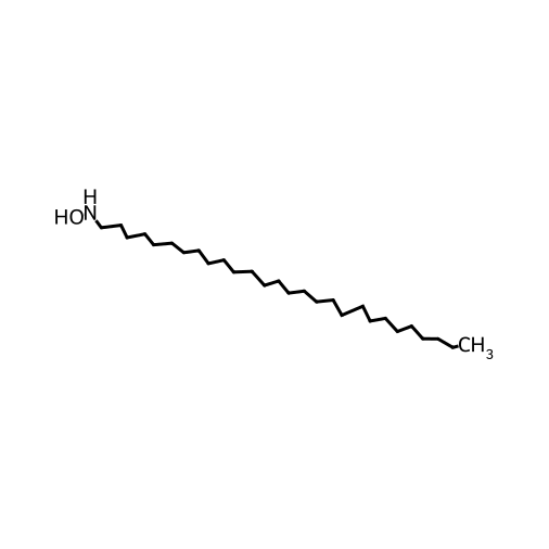 CCCCCCCCCCCCCCCCCCCCCCCCCCCCNO